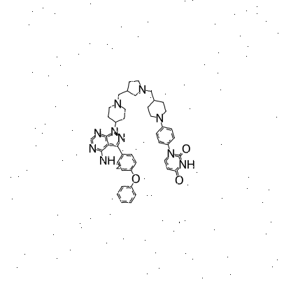 Nc1ncnc2c1c(-c1ccc(Oc3ccccc3)cc1)nn2C1CCN(CC2CCN(CC3CCN(c4ccc(-n5ccc(=O)[nH]c5=O)cc4)CC3)C2)CC1